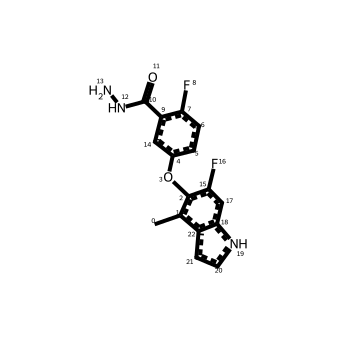 Cc1c(Oc2ccc(F)c(C(=O)NN)c2)c(F)cc2[nH]ccc12